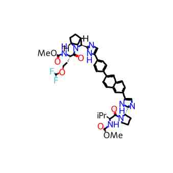 COC(=O)N[C@@H](CCOC(F)F)C(=O)N1[C@@H]2CC[C@@H](C2)[C@H]1c1ncc(-c2ccc(-c3ccc4cc(-c5cnc([C@@H]6CCCN6C(=O)[C@@H](NC(=O)OC)C(C)C)[nH]5)ccc4c3)cc2)[nH]1